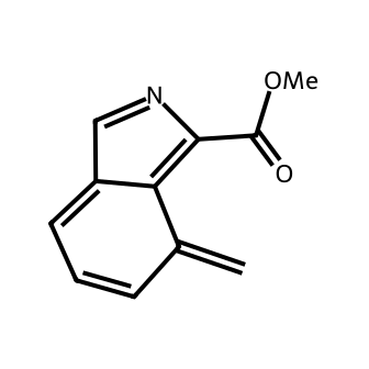 C=c1cccc2c1=C(C(=O)OC)N=C2